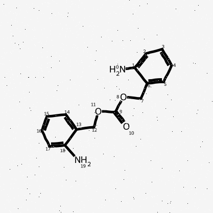 Nc1ccccc1COC(=O)OCc1ccccc1N